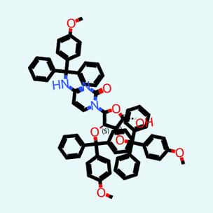 COc1ccc(C(Nc2ccn(C3O[C@H](CO)[C@@H](OC(c4ccccc4)(c4ccccc4)c4ccc(OC)cc4)[C@@H]3OC(c3ccccc3)(c3ccccc3)c3ccc(OC)cc3)c(=O)n2)(c2ccccc2)c2ccccc2)cc1